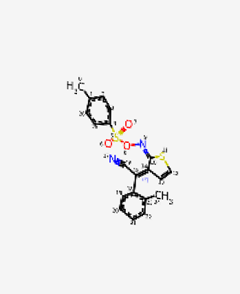 Cc1ccc(S(=O)(=O)ON=C2SC=C/C2=C(/C#N)c2ccccc2C)cc1